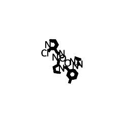 Cc1ccc(-n2nccn2)c(C(=O)N2CCCC2c2nc(-c3cccnc3Cl)no2)c1